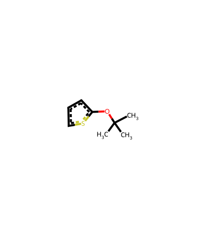 CC(C)(C)Oc1cccs1